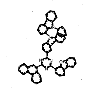 c1ccc(-n2c3ccccc3c3cccc(-n4c5ccccc5c5cc(-c6nc(-c7cc8ccccc8c8ccccc78)nc(-c7cccc8c7oc7ccccc78)n6)ccc54)c32)cc1